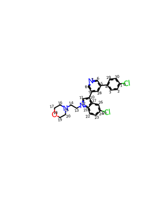 Clc1ccc(-c2cncc(-c3cn(CCN4CCOCC4)c4ccc(Cl)cc34)c2)cc1